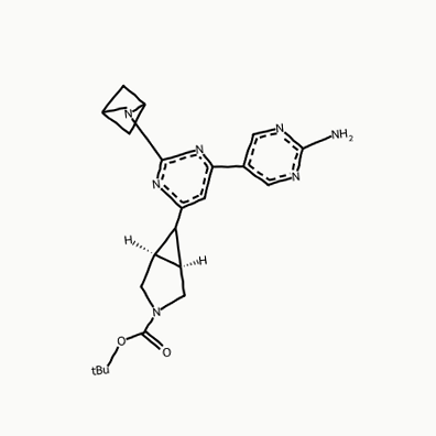 CC(C)(C)OC(=O)N1C[C@@H]2C(c3cc(-c4cnc(N)nc4)nc(N4CC5CC4C5)n3)[C@@H]2C1